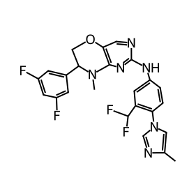 Cc1cn(-c2ccc(Nc3ncc4c(n3)N(C)C(c3cc(F)cc(F)c3)CO4)cc2C(F)F)cn1